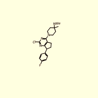 CNC1(C)CCN(c2nc(Cl)nc3c2CCC3c2ccc(F)cc2)CC1